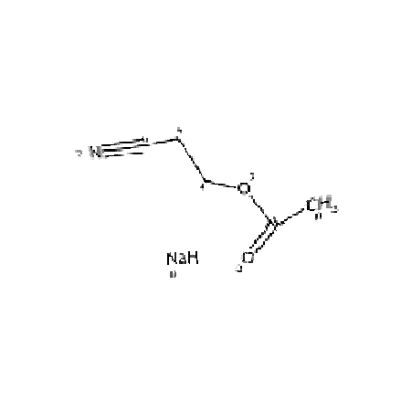 CC(=O)OCCC#N.[NaH]